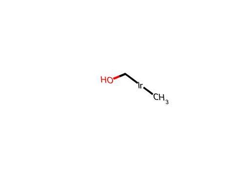 [CH3][Ir][CH2]O